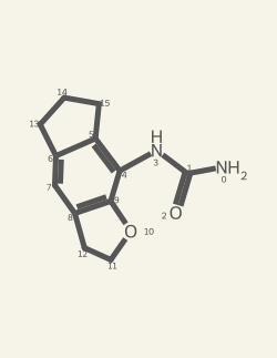 NC(=O)Nc1c2c(cc3c1OCC3)CCC2